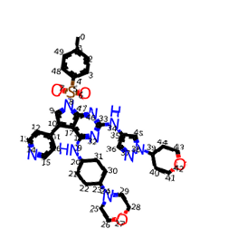 Cc1ccc(S(=O)(=O)n2cc(-c3ccncc3)c3c(NC4CCC(N5CCOCC5)CC4)nc(Nc4cnn(C5CCOCC5)c4)nc32)cc1